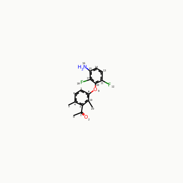 CC(=O)c1c(C)ccc(Oc2c(F)ccc(N)c2F)c1C